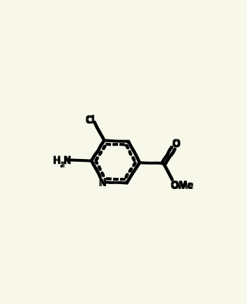 COC(=O)c1cnc(N)c(Cl)c1